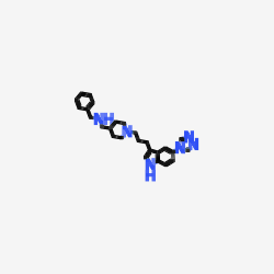 c1ccc(CNCC2CCN(CCCc3c[nH]c4ccc(-n5cnnc5)cc34)CC2)cc1